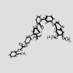 COc1cc2nccc(Oc3cccc(N4CCCN(c5ccc(N6CCC(NC(=O)CCC7CCCCN7C)CC6)c(C(F)(F)F)c5)C4=O)c3)c2cc1OC